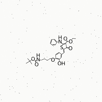 CCOC(=O)C1=C(Nc2ccccc2)S/C(=C\c2ccc(OCCCCNC(=O)OC(C)(C)C)c(O)c2)C1=O